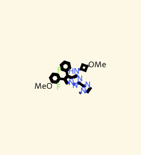 COc1ccc(F)c(-c2cn3nc(-c4nccn4C)nc(NC4CC(OC)C4)c3c2-c2ccccc2)c1F